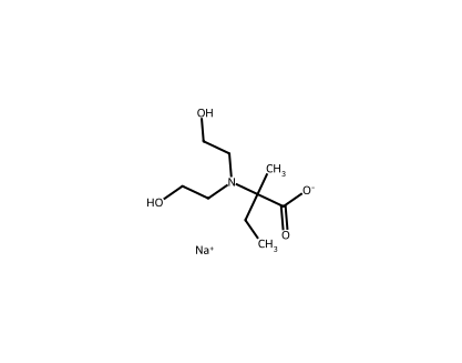 CCC(C)(C(=O)[O-])N(CCO)CCO.[Na+]